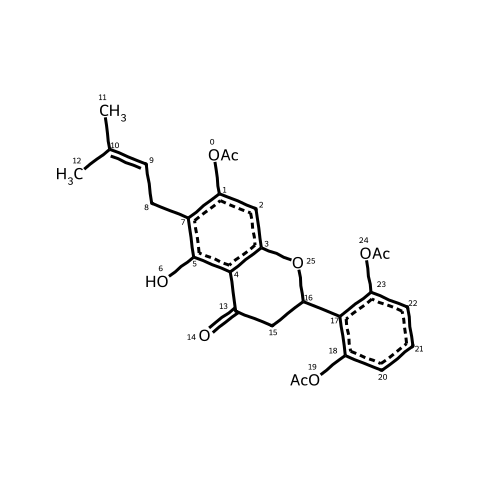 CC(=O)Oc1cc2c(c(O)c1CC=C(C)C)C(=O)CC(c1c(OC(C)=O)cccc1OC(C)=O)O2